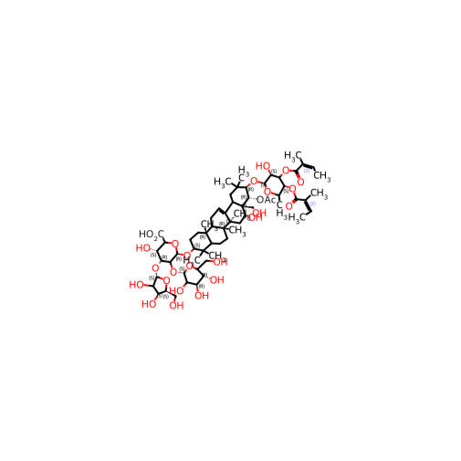 C/C=C(/C)C(=O)OC1[C@@H](OC(=O)/C(C)=C\C)C(C)O[C@@H](O[C@H]2[C@H](OC(C)=O)[C@@]3(CO)C(CC2(C)C)C2=CCC4[C@@]5(C)CC[C@H](O[C@@H]6OC(C(=O)O)[C@@H](O)[C@@H](O[C@@H]7O[C@@H](CO)[C@@H](O)C7O)C6O[C@@H]6OC(CO)[C@H](O)[C@@H](O)C6O)C(C)(C)C5CC[C@@]4(C)[C@]2(C)C[C@H]3O)[C@H]1O